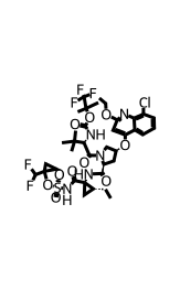 CCOc1cc(O[C@@H]2C[C@@H](C(=O)N[C@]3(C(=O)NS(=O)(=O)OC4(C(F)F)CC4)C[C@H]3CC)N(C(=O)[C@@H](NC(=O)OC(C)(C)C(F)(F)F)C(C)(C)C)C2)c2cccc(Cl)c2n1